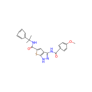 COc1ccc(C(=O)Nc2n[nH]c3sc(C(=O)NC(C)(C)c4ccccc4)cc23)cc1